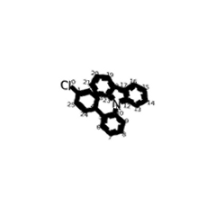 ClC1=CCC(c2ccccc2-n2c3ccccc3c3ccccc32)C=C1